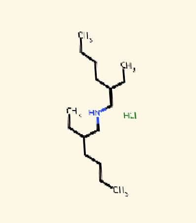 CCCCC(CC)CNCC(CC)CCCC.Cl